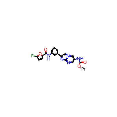 CC(C)OC(=O)Nc1cnc2nc(-c3cccc(NC(=O)c4ccc(F)o4)c3)cn2c1